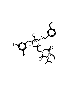 CCc1cccc(CNC[C@H](O)[C@H](Cc2cc(F)cc(F)c2)NC(=O)CN2CC(=O)N(CC)[C@@H](C(C)C)C2=O)c1